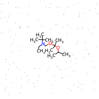 CCN(COC(C)(C)OC(C)C)C(C)(C)C